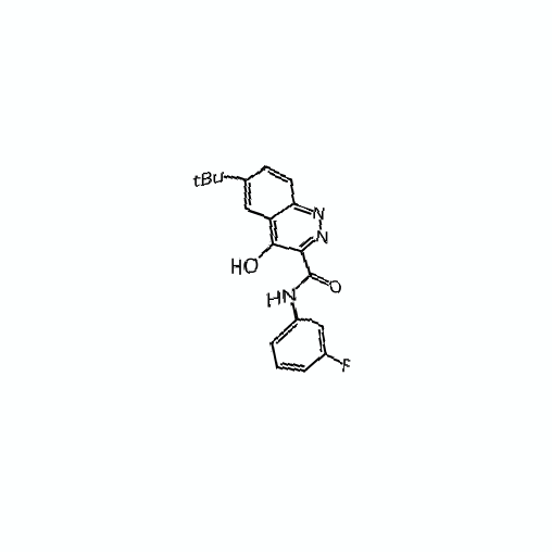 CC(C)(C)c1ccc2nnc(C(=O)Nc3cccc(F)c3)c(O)c2c1